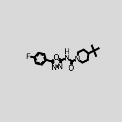 CC(C)(C)C1CCN(C(=O)Nc2nnc(-c3ccc(F)cc3)o2)CC1